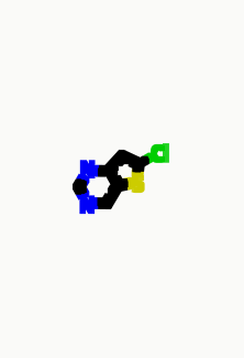 Clc1cc2ncncc2s1